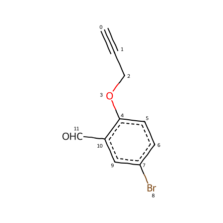 C#CCOc1ccc(Br)cc1C=O